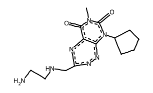 Cn1c(=O)c2nc(CNCCN)nnc2n(C2CCCC2)c1=O